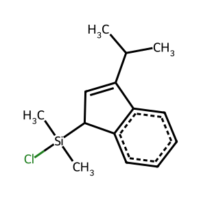 CC(C)C1=CC([Si](C)(C)Cl)c2ccccc21